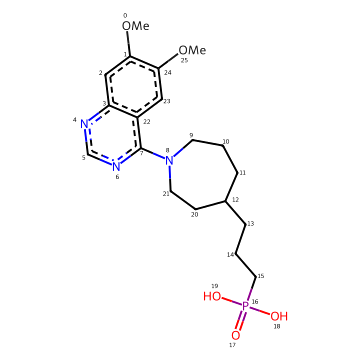 COc1cc2ncnc(N3CCCC(CCCP(=O)(O)O)CC3)c2cc1OC